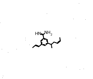 C/C=C\CC(C)c1cc(/C=C/C)cc(C(=N)N)c1